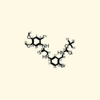 COc1cc(F)c(NC(=S)CNc2ccc(Br)c(CNC(=O)OC(C)(C)C)c2)cc1OC